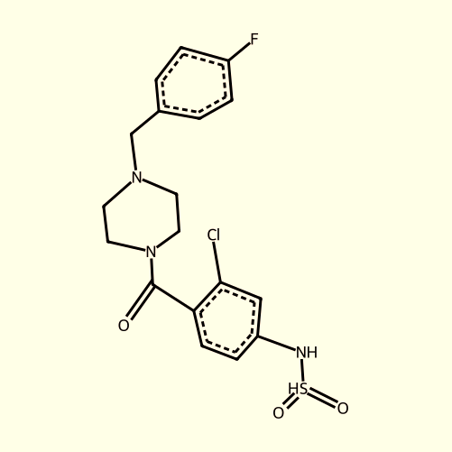 O=C(c1ccc(N[SH](=O)=O)cc1Cl)N1CCN(Cc2ccc(F)cc2)CC1